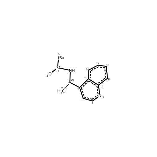 C[C@H](N[S+]([O-])C(C)(C)C)c1ccnc2ccccc12